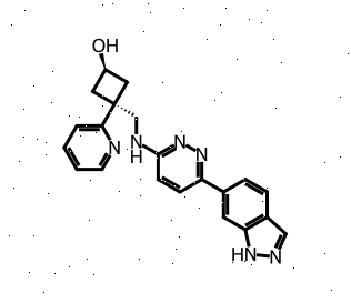 O[C@H]1C[C@@](CNc2ccc(-c3ccc4cn[nH]c4c3)nn2)(c2ccccn2)C1